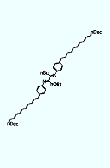 CCCCCCCCCCCCCCCCCCCCc1ccc(/N=C(CCCC)/C(CCCCCCCC)=N/c2ccc(CCCCCCCCCCCCCCCCCCCC)cc2)cc1.[Ni]